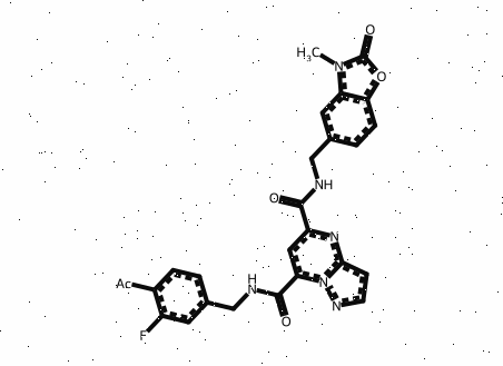 CC(=O)c1ccc(CNC(=O)c2cc(C(=O)NCc3ccc4oc(=O)n(C)c4c3)nc3ccnn23)cc1F